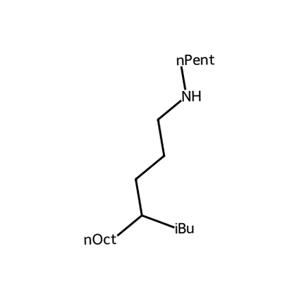 CCCCCCCCC(CCCNCCCCC)C(C)CC